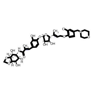 C/C(=C\c1ccc(O[C@@H]2O[C@H](/C(C)=C/COc3ccc(CN4CCOCC4)cc3Cl)[C@@H](O)[C@@H]2O)c(O)c1)C(=O)N[C@@H]1[C@H](O)[C@@H](O)[C@H]2OCO[C@H]2[C@@H]1O